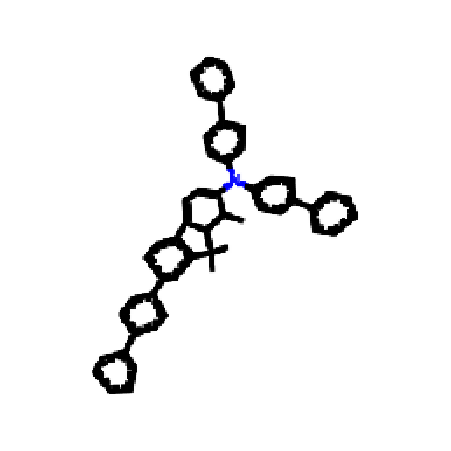 CC1C(N(c2ccc(-c3ccccc3)cc2)c2ccc(-c3ccccc3)cc2)=CC=C2c3ccc(-c4ccc(-c5ccccc5)cc4)cc3C(C)(C)C21